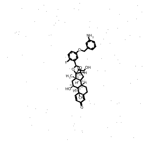 C[C@]12C=CC(=O)C=C1CC[C@@H]1[C@@H]2[C@@H](O)C[C@@]2(C)[C@H]1C[C@H]1OC(c3cc(OCc4cccc(N)c4)ccc3F)O[C@]12C(=O)CO